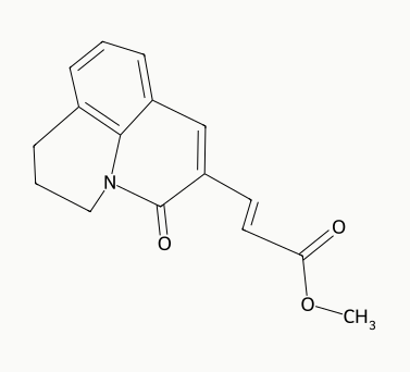 COC(=O)C=Cc1cc2cccc3c2n(c1=O)CCC3